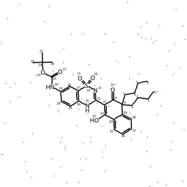 CCCCC1(CCCC)C(=O)C(C2=NS(=O)(=O)c3cc(NC(=O)OC(C)(C)C)ccc3N2)=C(O)c2ccccc21